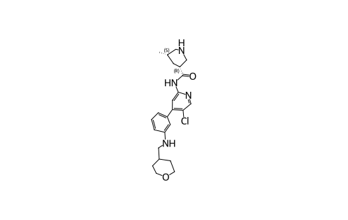 C[C@@H]1CNC[C@H](C(=O)Nc2cc(-c3cccc(NCC4CCOCC4)c3)c(Cl)cn2)C1